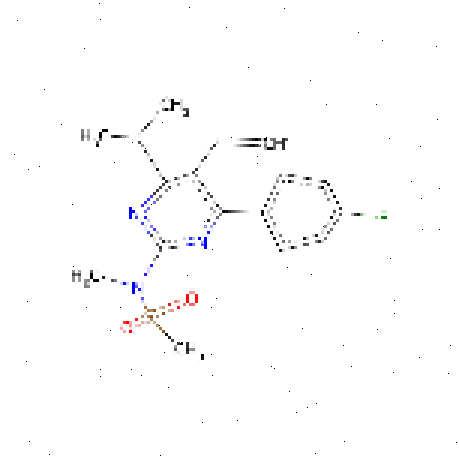 [CH]=Cc1c(-c2ccc(F)cc2)nc(N(C)S(C)(=O)=O)nc1C(C)C